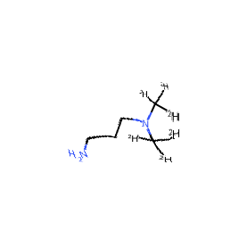 [2H]C([2H])([2H])N(CCCN)C([2H])([2H])[2H]